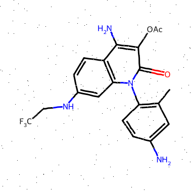 CC(=O)Oc1c(N)c2ccc(NCC(F)(F)F)cc2n(-c2ccc(N)cc2C)c1=O